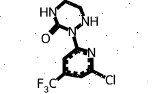 O=C1NCCNN1c1cc(C(F)(F)F)cc(Cl)n1